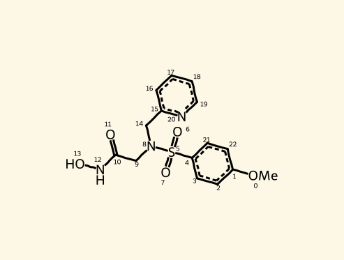 COc1ccc(S(=O)(=O)N(CC(=O)NO)Cc2ccccn2)cc1